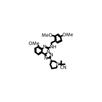 COc1ccc(CNc2nc3c(OC)cccc3c3nc([C@@H]4CCCN(C(C)(C)C#N)C4)nn23)c(OC)c1